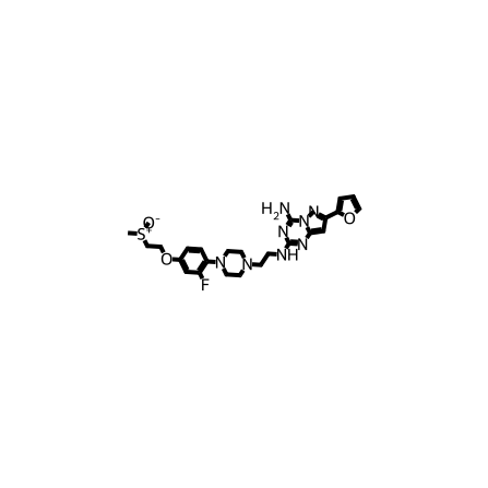 C[S+]([O-])CCOc1ccc(N2CCN(CCNc3nc(N)n4nc(-c5ccco5)cc4n3)CC2)c(F)c1